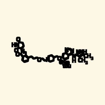 Cc1[nH]nc(Nc2ncnc3cc(OCC4CCN(CCOCCCc5cccc6c5CN([C@H]5CCC(=O)NC5=O)C6=O)CC4)c(S(=O)(=O)C(C)(C)C)cc23)c1C